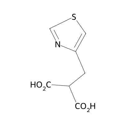 O=C(O)C(Cc1cscn1)C(=O)O